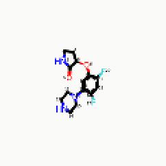 O=C1NCC[C@H]1Oc1cc(N2CCNCC2)c(F)cc1F